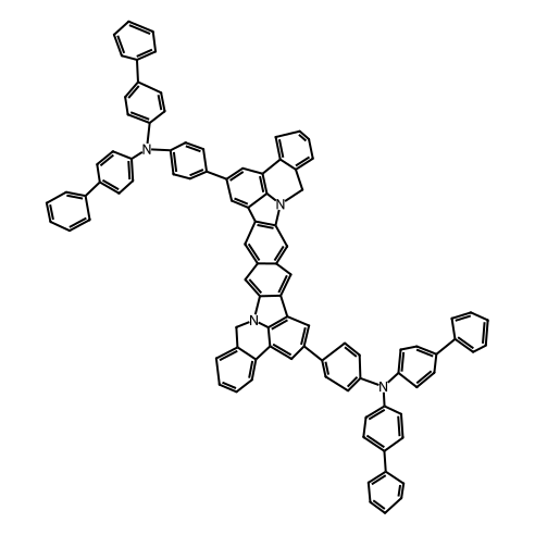 c1ccc(-c2ccc(N(c3ccc(-c4ccccc4)cc3)c3ccc(-c4cc5c6c(c4)c4cc7cc8c(cc7cc4n6Cc4ccccc4-5)c4cc(-c5ccc(N(c6ccc(-c7ccccc7)cc6)c6ccc(-c7ccccc7)cc6)cc5)cc5c4n8Cc4ccccc4-5)cc3)cc2)cc1